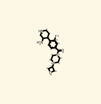 NC1CNCCC1c1ccc(C(=O)N2CCN(C3COC3)CC2)cc1F